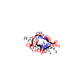 CC(=O)CCC(C)(C)OCCC(C)(C)OCCNC(=O)CCC(NC(=O)C(C)(C)CC(C)(C)C(=O)NC(CCC(=O)O)C(=O)O)C(=O)O